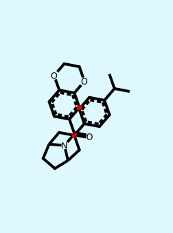 CC(C)c1ccc(C2CC3CCC(C2)N3C(=O)c2ccc3c(c2)OCCO3)cc1